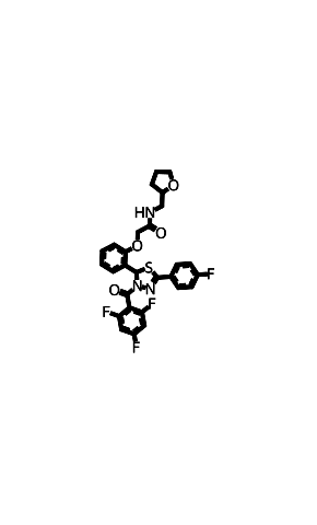 O=C(COc1ccccc1C1SC(c2ccc(F)cc2)=NN1C(=O)c1c(F)cc(F)cc1F)NCC1CCCO1